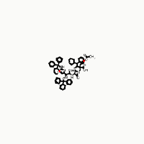 CC(=O)OCC=CC1(C(=O)O)CN2C(=O)C(NC(=O)C(=NOC(c3ccccc3)(c3ccccc3)c3ccccc3)c3csc(NC(c4ccccc4)(c4ccccc4)c4ccccc4)n3)[C@H]2SC1C(c1ccccc1)c1ccccc1